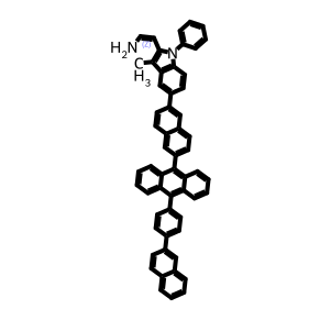 Cc1c(/C=C\N)n(-c2ccccc2)c2ccc(-c3ccc4cc(-c5c6ccccc6c(-c6ccc(-c7ccc8ccccc8c7)cc6)c6ccccc56)ccc4c3)cc12